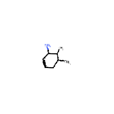 CC1CC=CC(N)C1C